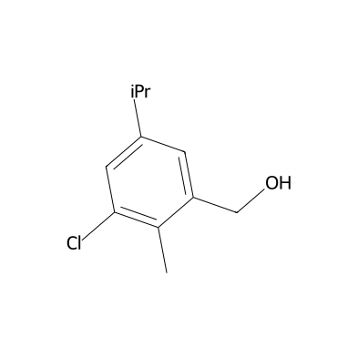 Cc1c(Cl)cc(C(C)C)cc1CO